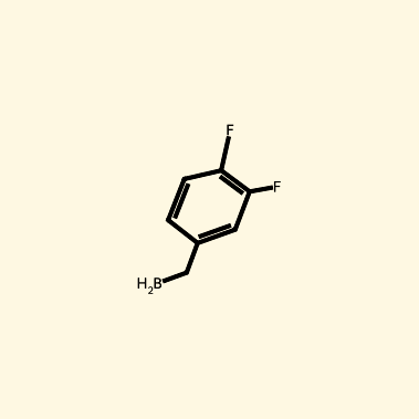 BCc1ccc(F)c(F)c1